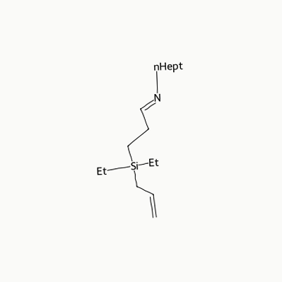 C=CC[Si](CC)(CC)CCC=NCCCCCCC